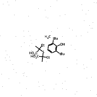 C.CC(C)(C)c1cccc(C(C)(C)C)c1O.CCC(C)(SC(C)(CC)C(=O)O)C(=O)O